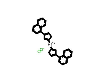 C1=[C]([Hf+2][C]2=CC(c3cccc4ccccc34)=CC2)CC=C1c1cccc2ccccc12.[Cl-].[Cl-]